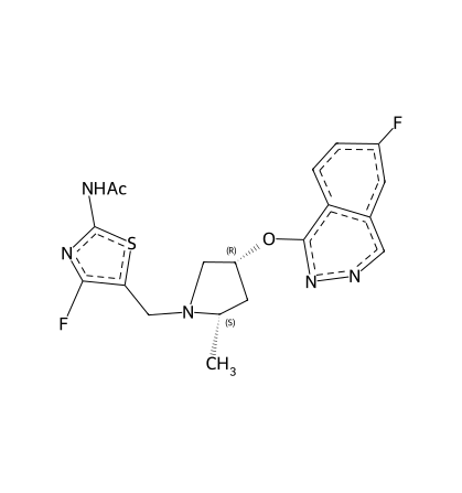 CC(=O)Nc1nc(F)c(CN2C[C@H](Oc3nncc4cc(F)ccc34)C[C@@H]2C)s1